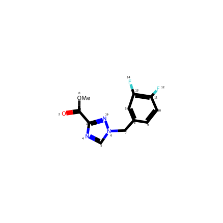 COC(=O)c1ncn(Cc2ccc(F)c(F)c2)n1